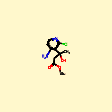 CC(C)(C)OC(=O)CC(C)(O)c1c(N)ccnc1Cl